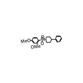 COc1ccc(S(=O)(=O)N2CCC(c3ccccc3)CC2)c(OC)c1